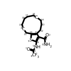 NC(=O)c1c(NC(=O)C(F)(F)F)sc2c1CCCCCCCCCC2